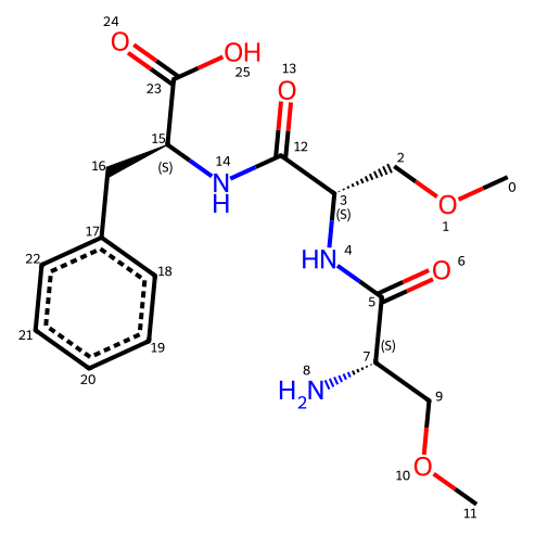 COC[C@H](NC(=O)[C@@H](N)COC)C(=O)N[C@@H](Cc1ccccc1)C(=O)O